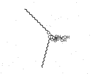 CCCCCCCCCCCCCCCCCCOC[C@H](COP(=O)(O)OC[C@@H](O)CO)OC(=O)CCCCCCCCCCCCCCCC